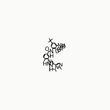 COc1c(NC(=O)c2ccc(C)c(N3C=C(c4cnc(C)n4C(C)C)NN3)c2)cc(C(C)(C)C)cc1NS(C)(=O)=O